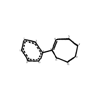 [c]1cccc(C2=CCCCCC2)c1